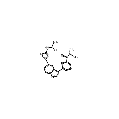 CC(C)Nc1nnc(-c2ccc3[nH]cc(-c4cccc(C(=O)N(C)C)n4)c3c2)o1